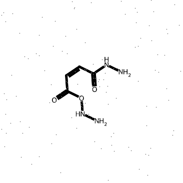 NNOC(=O)/C=C\C(=O)NN